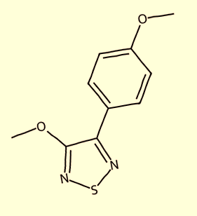 COc1ccc(-c2nsnc2OC)cc1